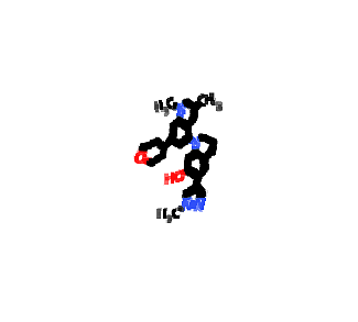 CC1=Cc2c(cc(C3CCOCC3)cc2N2CCCc3cc(-c4cnn(C)c4)c(O)cc32)N(C)C1